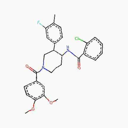 COc1ccc(C(=O)N2CCC(NC(=O)c3ccccc3Cl)C(c3ccc(C)c(F)c3)C2)cc1OC